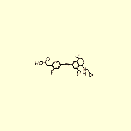 COc1cc(C#Cc2ccc(CC(=O)O)c(F)c2)cc2c1C(NCC1CC1)CCC2(C)C